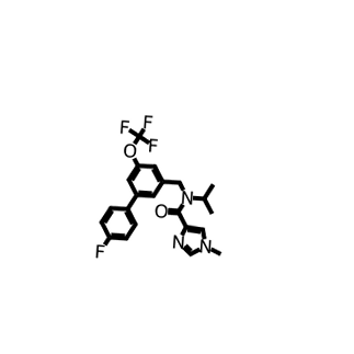 CC(C)N(Cc1cc(OC(F)(F)F)cc(-c2ccc(F)cc2)c1)C(=O)c1cn(C)cn1